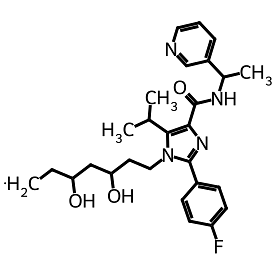 [CH2]CC(O)CC(O)CCn1c(-c2ccc(F)cc2)nc(C(=O)NC(C)c2cccnc2)c1C(C)C